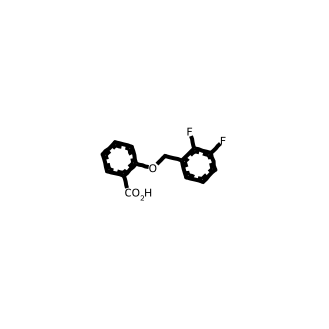 O=C(O)c1ccccc1OCc1cccc(F)c1F